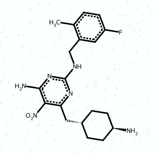 Cc1ccc(F)cc1CNc1nc(N)c([N+](=O)[O-])c(C[C@H]2CC[C@H](N)CC2)n1